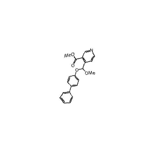 COC(=O)c1cnccc1C(OC)Oc1ccc(-c2ccccc2)cc1